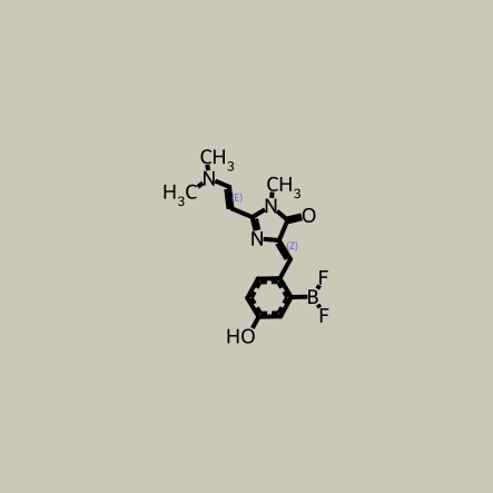 CN(C)/C=C/C1=NC(=C\c2ccc(O)cc2B(F)F)/C(=O)N1C